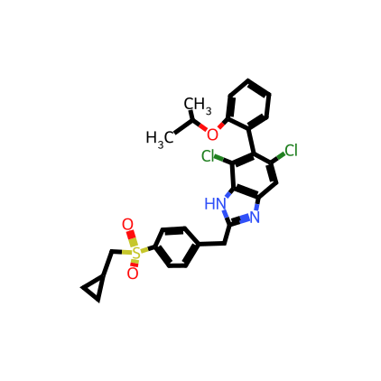 CC(C)Oc1ccccc1-c1c(Cl)cc2nc(Cc3ccc(S(=O)(=O)CC4CC4)cc3)[nH]c2c1Cl